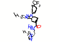 Cn1cc2c3cc(C(=O)NCCCc4nccn4C)ccc3n(-c3ccc(C(F)(F)F)cc3)c2n1